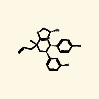 C=CC[C@@]1(C)C[C@H](c2cccc(Cl)c2)[C@@H](c2ccc(Cl)cc2)[N+]2=C1OC[C@@H]2C(C)C